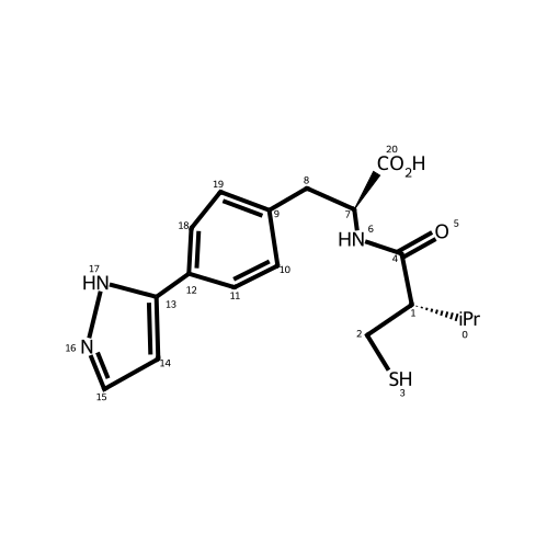 CC(C)[C@H](CS)C(=O)N[C@@H](Cc1ccc(-c2ccn[nH]2)cc1)C(=O)O